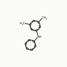 Cc1cc(C)cc(Nc2ccccc2)c1